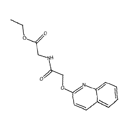 CCOC(=O)CNC(=O)COc1ccc2ccccc2n1